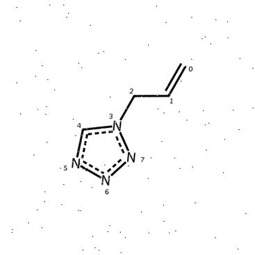 C=CCn1cnnn1